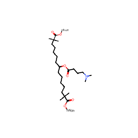 CCCCCCCCCOC(=O)C(C)(C)CCCCCC(CCCCCC(C)(C)C(=O)OCCCCCCCCC)OC(=O)CCCN(C)C